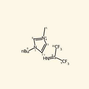 CCCCn1cc[n+](C)c1.N=S(C(F)(F)F)C(F)(F)F